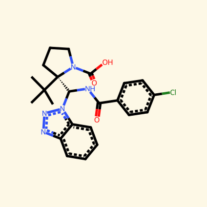 CC(C)(C)[C@@]1(C(NC(=O)c2ccc(Cl)cc2)n2nnc3ccccc32)CCCN1C(=O)O